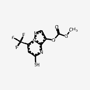 COC(=O)Oc1cnn2c(C(F)(F)F)cc(S)nc12